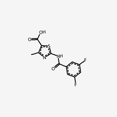 Cc1nc(NC(=O)c2cc(F)cc(F)c2)sc1C(=O)O